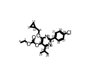 CCOC(=O)Oc1c(OCC2CC2)nc(-c2ccc(Cl)cc2)nc1C(C)C